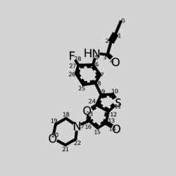 CC#CC(=O)Nc1cc(-c2csc3c(=O)cc(N4CCOCC4)oc23)ccc1F